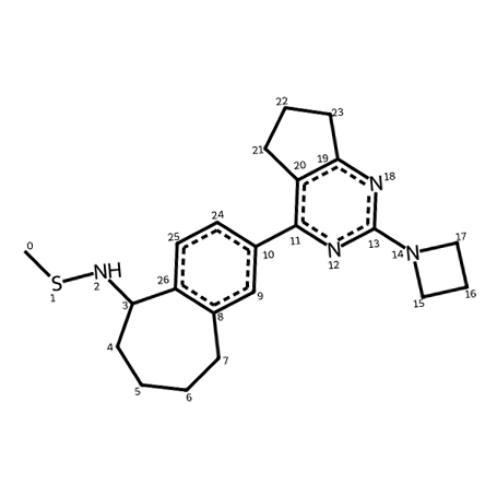 CSNC1CCCCc2cc(-c3nc(N4CCC4)nc4c3CCC4)ccc21